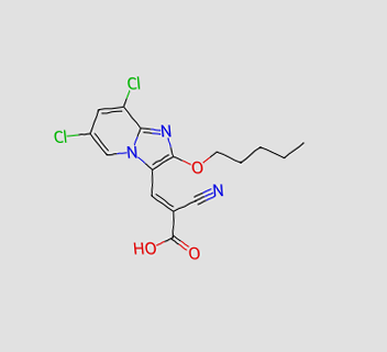 CCCCCOc1nc2c(Cl)cc(Cl)cn2c1/C=C(\C#N)C(=O)O